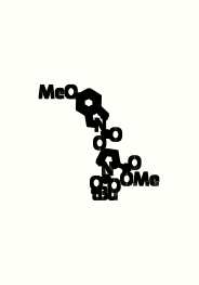 COC(=O)[C@@H]1C[C@@H](OC(=O)N2Cc3ccc(OC)cc3C2)CN1C(=O)OC(C)(C)C